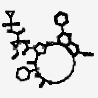 C=C[C@@H]1C[C@]1(NC(=O)[C@@H]1C[C@@H]2CN1C(=O)[C@H](C1CCCCC1)NC(=O)OCCCCCc1cc3c(cc(-c4ccccc4)nc3cc1OC)O2)C(=O)NS(=O)(=O)C1CC1